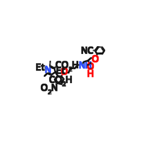 CCN1C(C)=C(C(=O)O)C(CC)(c2cc([N+](=O)[O-])ccc2OCCCCNCC(O)COc2ccccc2C#N)C(C(=O)O)=C1C